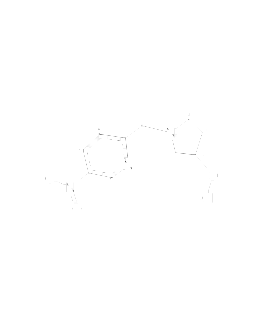 COC1CCN(Cc2ccc([N+](=O)[O-])cn2)C1